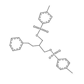 Cc1ccc(S(=O)(=O)OCC(CCc2ccccc2)COS(=O)(=O)c2ccc(C)cc2)cc1